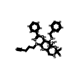 C#CCCCOC1OC2COC(C)(C)O[C@H]2[C@@H](OCc2ccccc2)C1OC(=O)c1ccccc1